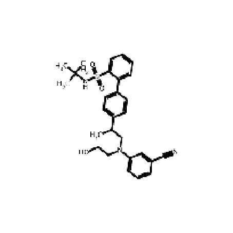 CC(CN(CCO)c1cccc(C#N)c1)c1ccc(-c2ccccc2S(=O)(=O)NC(C)(C)C)cc1